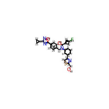 COCc1nc(-c2cccc(N(CC34CCC(c5nc(C6CC6)no5)(CC3)CC4)C(=O)C34CC(F)(C3)C4)c2)cs1